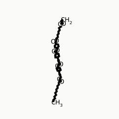 C=CC(=O)OCCCCCCCCOC(=O)C1CCC(OC(=O)c2ccc(C#CC(=O)Oc3ccc(C#CCOC(=O)CCCCCCCCCCCC)cc3)cc2)CC1